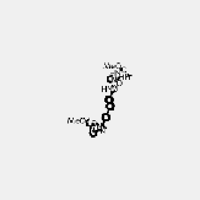 COC(=O)N[C@H](C(=O)N1CCC[C@H]1c1ncc(-c2ccc3cc(-c4ccc(-c5cnc(C6CCCN6C(=O)C[C@H](C)OC)[nH]5)cc4)ccc3c2)[nH]1)C(C)C